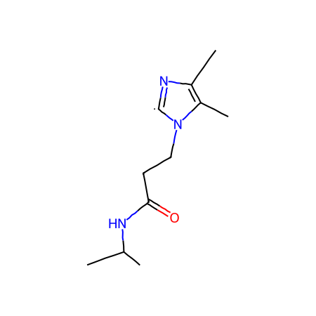 Cc1n[c]n(CCC(=O)NC(C)C)c1C